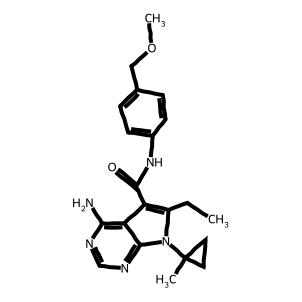 CCc1c(C(=O)Nc2ccc(COC)cc2)c2c(N)ncnc2n1C1(C)CC1